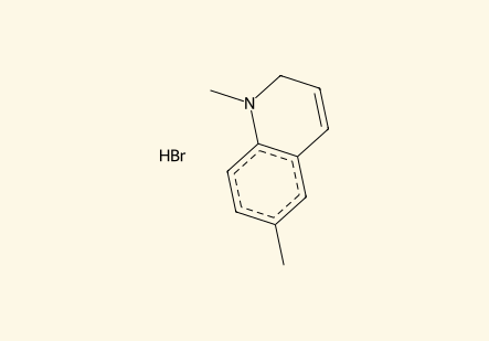 Br.Cc1ccc2c(c1)C=CCN2C